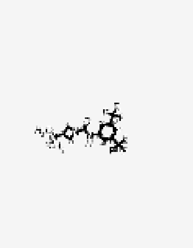 CN(C)C1CN(C(=O)Nc2cc(C(F)(F)F)cc(C(F)(F)F)c2)C1